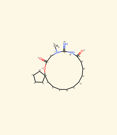 CN1CC(=O)OC2(CCCCCCCCCC(=O)NC1=N)CCCC2